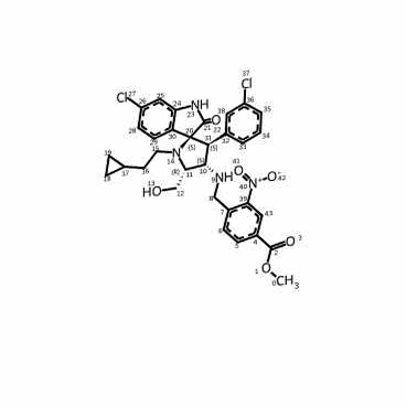 COC(=O)c1ccc(CN[C@@H]2[C@H](CO)N(CCC3CC3)[C@@]3(C(=O)Nc4cc(Cl)ccc43)[C@H]2c2cccc(Cl)c2)c([N+](=O)[O-])c1